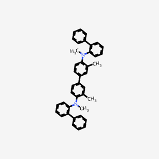 Cc1cc(-c2ccc(N(C)c3ccccc3-c3ccccc3)c(C)c2)ccc1N(C)c1ccccc1-c1ccccc1